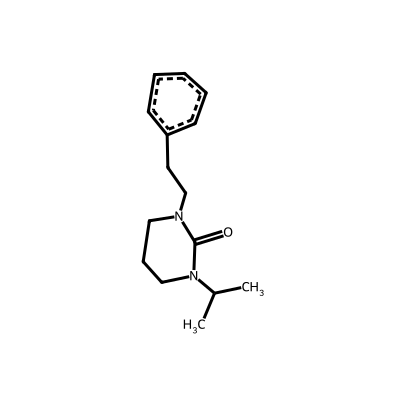 CC(C)N1CCCN(CCc2ccccc2)C1=O